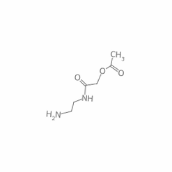 CC(=O)OCC(=O)NCCN